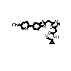 [C-]#[N+]c1ccc(-c2ccc3nc(Cc4nnc(CC(=O)NC5(C#N)CC5)o4)sc3c2)nc1